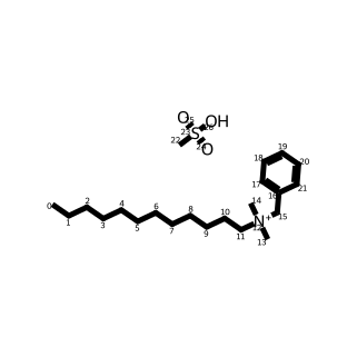 CCCCCCCCCCCC[N+](C)(C)Cc1ccccc1.CS(=O)(=O)O